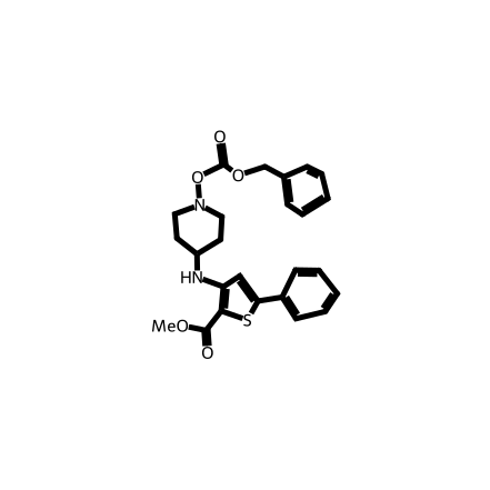 COC(=O)c1sc(-c2ccccc2)cc1NC1CCN(OC(=O)OCc2ccccc2)CC1